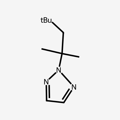 CC(C)(C)CC(C)(C)n1nccn1